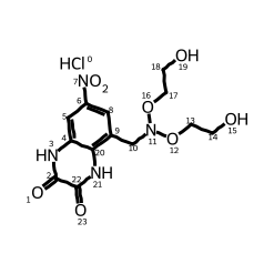 Cl.O=c1[nH]c2cc([N+](=O)[O-])cc(CN(OCCO)OCCO)c2[nH]c1=O